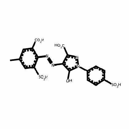 Cc1cc(C(=O)O)c(N=Nc2c(C(=O)O)nn(-c3ccc(S(=O)(=O)O)cc3)c2O)c(S(=O)(=O)O)c1